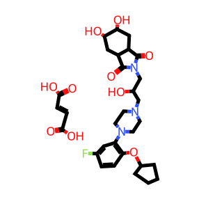 O=C(O)C=CC(=O)O.O=C1C2CC(O)C(O)CC2C(=O)N1CC(O)CN1CCN(c2cc(F)ccc2OC2CCCC2)CC1